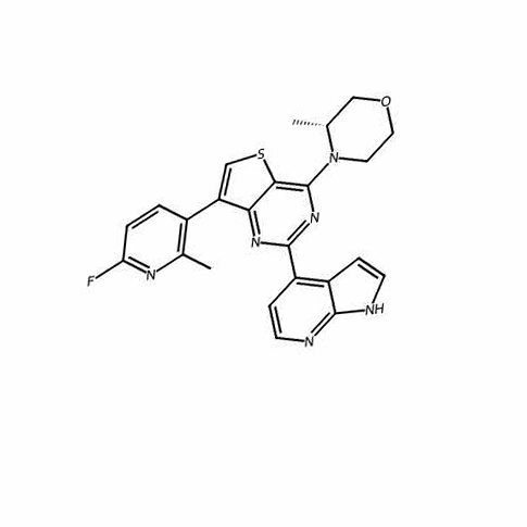 Cc1nc(F)ccc1-c1csc2c(N3CCOC[C@H]3C)nc(-c3ccnc4[nH]ccc34)nc12